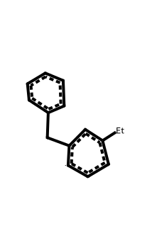 CCc1cc[c]c(Cc2ccccc2)c1